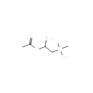 CC(=O)O[Si](C)(CC(I)OC(C)=S)OC(C)=O